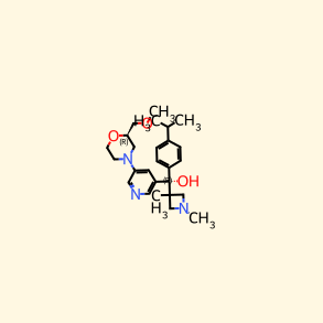 COC[C@H]1CN(c2cncc([C@@](O)(c3ccc(C(C)C)cc3)C3(C)CN(C)C3)c2)CCO1